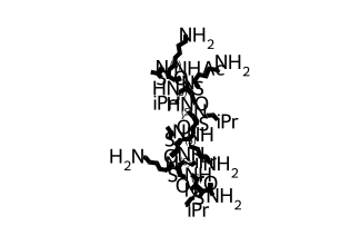 CC(=O)N[C@@H](CCCCN)c1nc(C)sc1C(=O)N[C@@H](CC(C)C)c1nc(CCCCN)sc1C(=O)N[C@@H](C)c1nc(CC(C)C)sc1C(=O)N[C@@H](CCCCN)c1nc(C)sc1C(=O)N[C@@H](CC(C)C)c1nc(CCCCN)sc1C(=O)N[C@@H](C)c1nc(CC(C)C)sc1C(N)=O